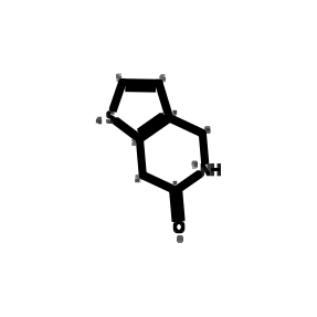 O=C1Cc2sccc2CN1